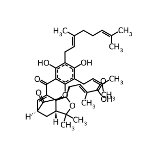 CC(C)=CCC/C(C)=C/Cc1c(O)c(CC=C(C)C)c2c(c1O)C(=O)C1=C[C@@H]3C[C@H]4C(C)(C)O[C@@](C/C=C(\C)C(=O)O)(C3=O)[C@@]14O2